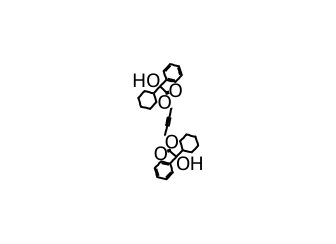 O=C(OCC#CCOC(=O)C(O)(c1ccccc1)C1CCCCC1)C(O)(c1ccccc1)C1CCCCC1